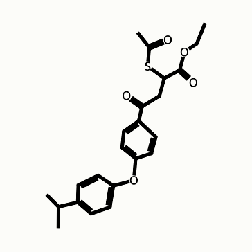 CCOC(=O)C(CC(=O)c1ccc(Oc2ccc(C(C)C)cc2)cc1)SC(C)=O